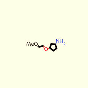 COCCO[C@H]1CC[C@@H](N)C1